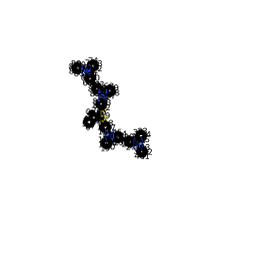 CC1(C)c2ccccc2-c2c(-c3ccc(-n4c5ccccc5c5cc(-c6ccc7c(c6)c6ccccc6n7-c6ccccc6)ccc54)cc3)sc(-c3ccc(-n4c5ccccc5c5cc(-c6ccc7c(c6)c6ccccc6n7-c6ccccc6)ccc54)cc3)c21